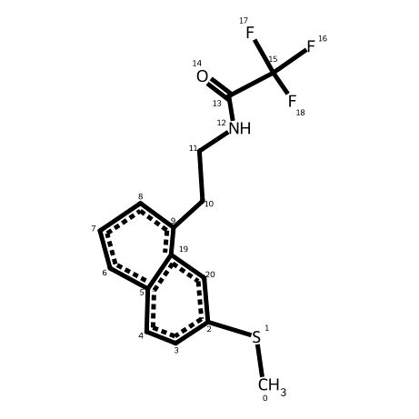 CSc1ccc2cccc(CCNC(=O)C(F)(F)F)c2c1